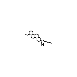 CCCCCCC1(C#N)CCC2C(CCC3C4CCCC(CC)C4CCC23)C1